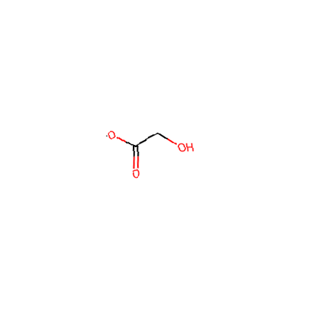 [O]C(=O)CO